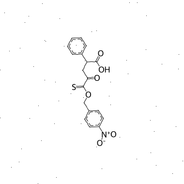 O=C(CC(C(=O)O)c1ccccc1)C(=S)OCc1ccc([N+](=O)[O-])cc1